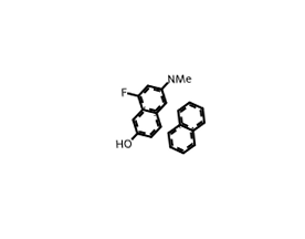 CNc1cc(F)c2cc(O)ccc2c1.c1ccc2ccccc2c1